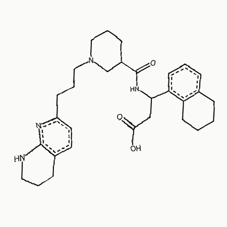 O=C(O)CC(NC(=O)C1CCCN(CCCc2ccc3c(n2)NCCC3)C1)c1cccc2c1CCCC2